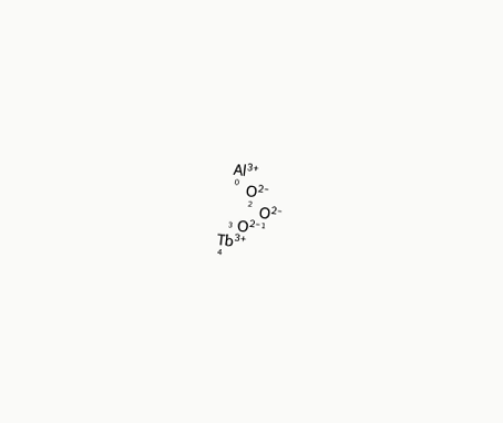 [Al+3].[O-2].[O-2].[O-2].[Tb+3]